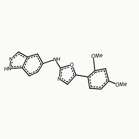 COc1ccc(-c2cnc(Nc3ccc4[nH]ncc4c3)o2)c(OC)c1